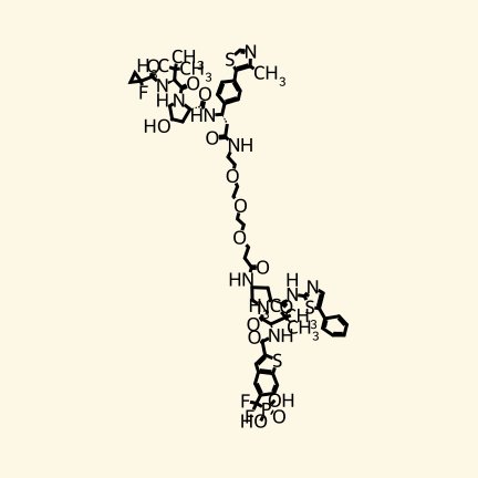 Cc1ncsc1-c1ccc([C@H](CC(=O)NCCOCCOCCOCCC(=O)N[C@@H]2C[C@@H](C(=O)Nc3ncc(-c4ccccc4)s3)N(C(=O)[C@@H](NC(=O)c3cc4cc(C(F)(F)P(=O)(O)O)ccc4s3)C(C)(C)C)C2)NC(=O)[C@@H]2C[C@@H](O)CN2C(=O)[C@@H](NC(=O)C2(F)CC2)C(C)(C)C)cc1